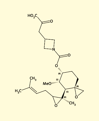 CO[C@@H]1[C@H](OC(=O)N2CC(CC(=O)C(=O)O)C2)CC[C@]2(CO2)[C@H]1[C@@]1(C)OC1CC=C(C)C